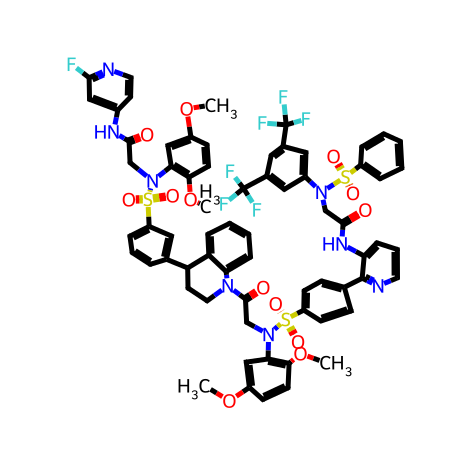 COc1ccc(OC)c(N(CC(=O)Nc2ccnc(F)c2)S(=O)(=O)c2cccc(C3CCN(C(=O)CN(c4cc(OC)ccc4OC)S(=O)(=O)c4ccc(-c5ncccc5NC(=O)CN(c5cc(C(F)(F)F)cc(C(F)(F)F)c5)S(=O)(=O)c5ccccc5)cc4)c4ccccc43)c2)c1